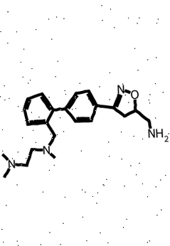 CN(C)CCN(C)Cc1ccccc1-c1ccc(C2=NOC(CN)C2)cc1